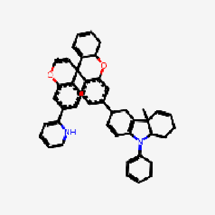 CC12C=CCCC1N(C1=CC=CCC1)C1=C2CC(c2ccc3c(c2)OC2CC=CC=C2C32c3ccccc3Oc3cc(C4=CC=CCN4)ccc32)C=C1